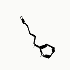 O=CCCCOc1ccccn1